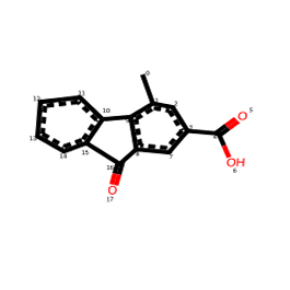 Cc1cc(C(=O)O)cc2c1-c1ccccc1C2=O